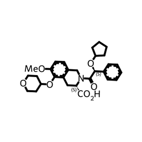 COc1ccc2c(c1OC1CCOCC1)C[C@@H](C(=O)O)N(C(=O)[C@@H](OC1CCCC1)c1ccccc1)C2